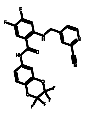 N#Cc1cc(CNc2cc(F)c(F)cc2C(=O)Nc2ccc3c(c2)OC(F)(F)C(F)(F)O3)ccn1